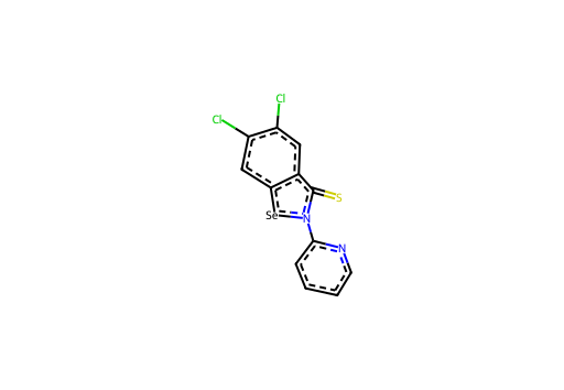 S=c1c2cc(Cl)c(Cl)cc2[se]n1-c1ccccn1